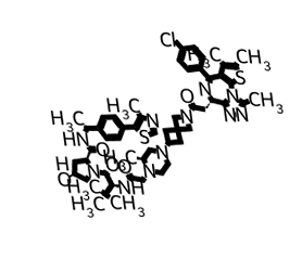 Cc1ncsc1-c1ccc([C@H](C)NC(=O)[C@@H]2C[C@@H](O)CN2C(=O)[C@@H](NC(=O)CN2CCN(C3CC4(C3)CN(C(=O)C[C@@H]3N=C(c5ccc(Cl)cc5)c5c(sc(C)c5C)-n5c(C)nnc53)C4)C[C@@H]2C)C(C)(C)C)cc1